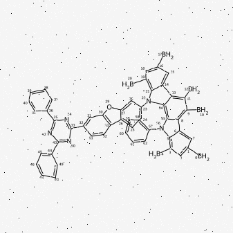 Bc1cc(B)c2c(c1)c1c(B)c(B)c3c4cc(B)cc(B)c4n(-c4ccc5c(c4)oc4cc(-c6nc(-c7ccccc7)nc(-c7ccccc7)n6)ccc45)c3c1n2-c1ccccc1